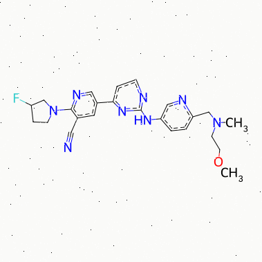 COCCN(C)Cc1ccc(Nc2nccc(-c3cnc(N4CCC(F)C4)c(C#N)c3)n2)cn1